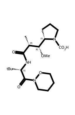 CO[C@H]([C@@H](C)C(=O)N[C@H](C(=O)N1CCCCO1)C(C)(C)C)[C@@H]1CCCN1C(=O)O